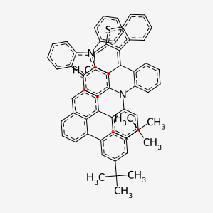 CC1C=c2sc3ccccc3c2=C(c2ccccc2N(c2ccc3c4ccccc4n(-c4ccccc4)c3c2)c2ccccc2-c2cccc3cccc(-c4cc(C(C)(C)C)cc(C(C)(C)C)c4)c23)C1